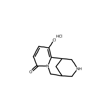 Cl.O=c1ccc(Cl)c2n1CC1CNCC2C1